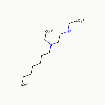 CCCCCCCCCCCCCCCCN(CCNCC(=O)O)CC(=O)O